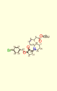 CC(C)(C)OC(=O)CC/C=C\CO[C@@H]1[C@@H](OCc2ccc(Br)cc2)CC[C@H]1N1CCCCC1